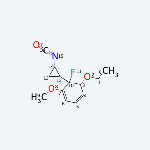 CCOC1C=CC=C(OC)C1(F)C1CC1N=C=O